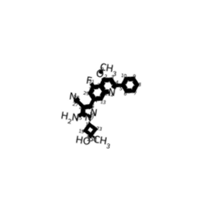 COc1cc(-c2ccccc2)nc2cc(-c3nn([C@H]4C[C@@](C)(O)C4)c(N)c3C#N)cc(F)c12